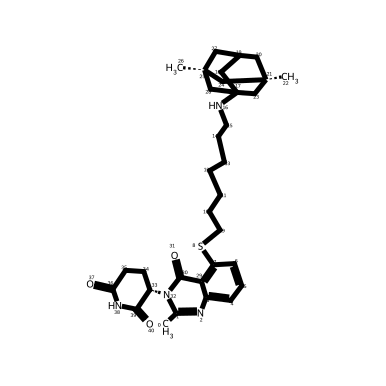 Cc1nc2cccc(SCCCCCCCNC34CC5C[C@@](C)(C3)C[C@](C)(C5)C4)c2c(=O)n1[C@H]1CCC(=O)NC1=O